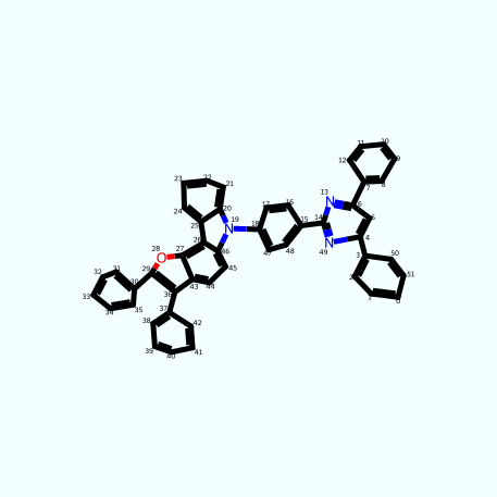 c1ccc(-c2cc(-c3ccccc3)nc(-c3ccc(-n4c5ccccc5c5c6oc(-c7ccccc7)c(-c7ccccc7)c6ccc54)cc3)n2)cc1